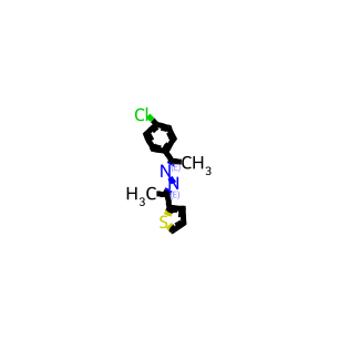 C/C(=N\N=C(/C)c1cccs1)c1ccc(Cl)cc1